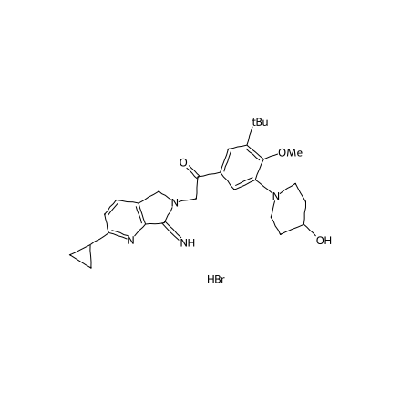 Br.COc1c(N2CCC(O)CC2)cc(C(=O)CN2Cc3ccc(C4CC4)nc3C2=N)cc1C(C)(C)C